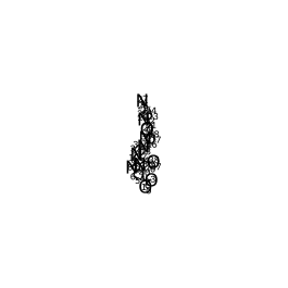 COC(=O)c1ccc2nc(CN3CCN(c4cccc(OCc5ccc(C#N)cn5)n4)CC3)n(C[C@@H]3CCO3)c2c1